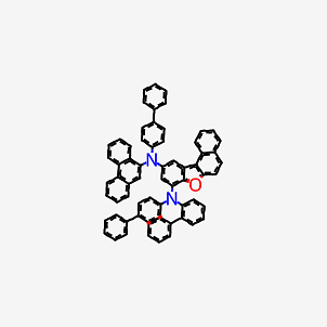 c1ccc(-c2ccc(N(c3cc(N(c4ccc(-c5ccccc5)cc4)c4ccccc4-c4ccccc4)c4oc5ccc6ccccc6c5c4c3)c3cc4ccccc4c4ccccc34)cc2)cc1